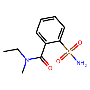 CCN(C)C(=O)c1ccccc1S(N)(=O)=O